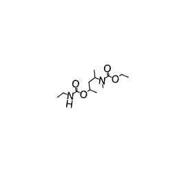 CCNC(=O)OC(C)CC(C)N(C)C(=O)OCC